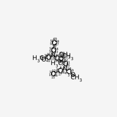 COc1ccc(N(c2ccc(-c3ccccc3)cc2)c2cccc(C3(C)CC(C)(C)c4cc(N(c5ccc(OC)cc5)c5ccc(-c6ccccc6)cc5)ccc43)c2)cc1